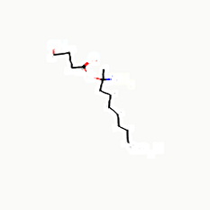 CC(N)(CCCCCCCC(=O)O)OC(=O)CCCO